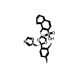 O=S(=O)(O)c1ccc2ccccc2c1C[C@@H]1CO[C@@](Cn2cncn2)(c2ccc(F)cc2F)O1